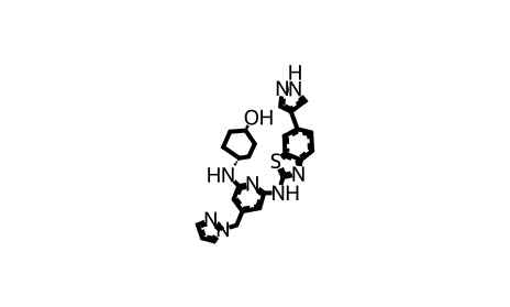 O[C@H]1CC[C@H](Nc2cc(Cn3cccn3)cc(Nc3nc4ccc(-c5cn[nH]c5)cc4s3)n2)CC1